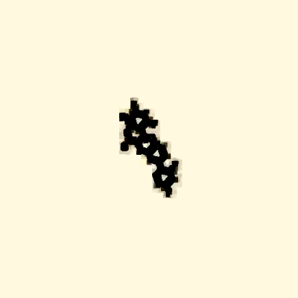 O=[N+]([O-])C1Cc2cc(-c3ccc(F)cc3F)ccc2OC1c1cc(F)c(F)cc1F